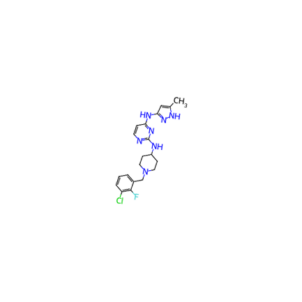 Cc1cc(Nc2ccnc(NC3CCN(Cc4cccc(Cl)c4F)CC3)n2)n[nH]1